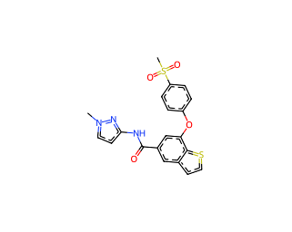 Cn1ccc(NC(=O)c2cc(Oc3ccc(S(C)(=O)=O)cc3)c3sccc3c2)n1